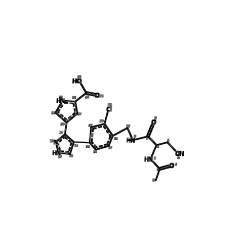 CC(=O)NC(CO)C(=O)NCc1ccc(-c2c[nH]nc2-c2c[nH]c(C(=O)O)c2)cc1Cl